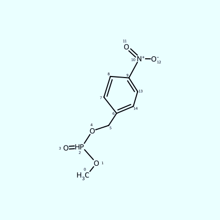 CO[PH](=O)OCc1ccc([N+](=O)[O-])cc1